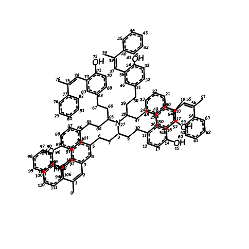 CC(=Cc1cc(CCC(CCc2ccc(O)c(C=C(C)c3ccccc3)c2)N(C(CCc2ccc(O)c(C=C(C)c3ccccc3)c2)CCc2ccc(O)c(C=C(C)c3ccccc3)c2)C(CCc2ccc(O)c(C=C(C)c3ccccc3)c2)CCc2ccc(O)c(C=C(C)c3ccccc3)c2)ccc1O)c1ccccc1